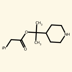 CC(C)CC(=O)OC(C)(C)C1CCNCC1